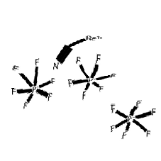 F[P-](F)(F)(F)(F)F.F[P-](F)(F)(F)(F)F.F[P-](F)(F)(F)(F)F.N#[C][Re+3]